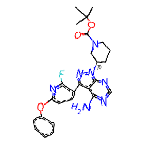 CC(C)(C)OC(=O)N1CCC[C@@H](n2nc(-c3ccc(Oc4ccccc4)nc3F)c3c(N)ncnc32)C1